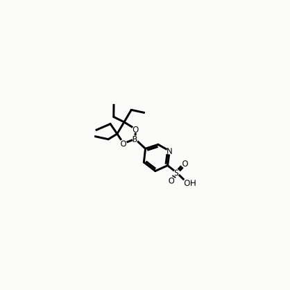 CCC1(CC)OB(c2ccc(S(=O)(=O)O)nc2)OC1(CC)CC